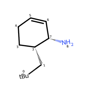 CC(C)(C)C[C@@H]1CCC=C[C@@H]1N